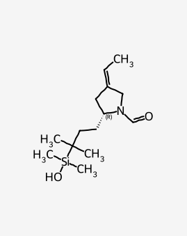 CC=C1C[C@@H](CCC(C)(C)[Si](C)(C)O)N(C=O)C1